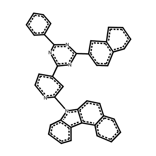 c1ccc(-c2nc(-c3ccnc(-n4c5ccccc5c5c6ccccc6ccc54)c3)nc(-c3ccc4ccccc4c3)n2)cc1